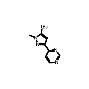 Cn1nc(-c2ccncn2)cc1C(C)(C)C